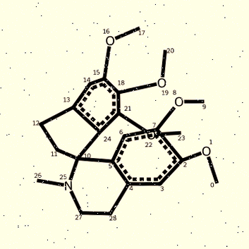 COc1cc2c(cc1OC)C1(CCc3cc(OC)c(OC)c(OC)c31)N(C)CC2